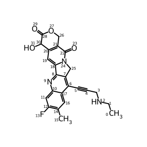 CCNCC#Cc1c2c(nc3cc(F)c(C)cc13)-c1cc3c(c(=O)n1C2)COC(=O)C3O